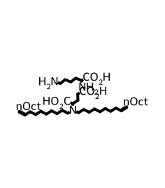 CCCCCCCC/C=C\CCCCCCCCN(CCCCCCCC/C=C\CCCCCCCC)C(CCC(=O)O)C(=O)O.NCCCCC(N)C(=O)O